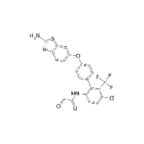 Nc1nc2ccc(Oc3ccc(-c4c(NC(=O)C=O)ccc(Cl)c4C(F)(F)F)cc3)cc2s1